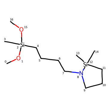 CO[Si](C)(CCCCN1CCC[Si]1(C)C)OC